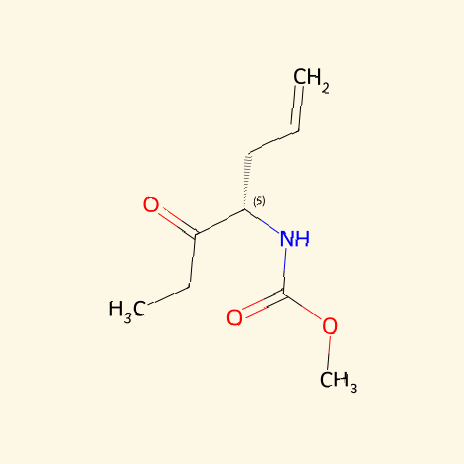 C=CC[C@H](NC(=O)OC)C(=O)CC